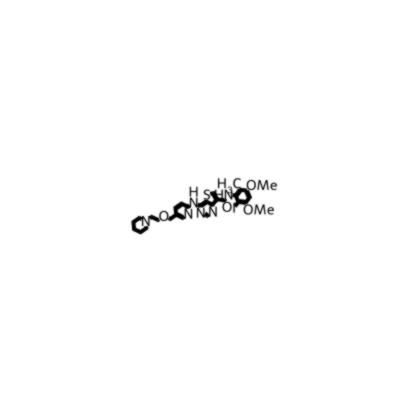 COc1cc(OC)c(I)c(NC(=O)c2csc3c(Nc4ccc(COCCN5CCCCC5)cn4)ncnc23)c1C